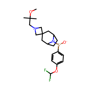 COC(C)(C)CN1CC2(CC3CCC(C2)N3[S+]([O-])c2ccc(OC(F)F)cc2)C1